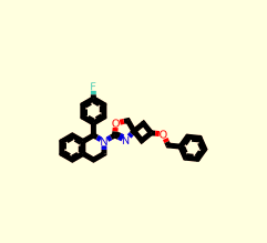 Fc1ccc(C2c3ccccc3CCN2C2=NC3(CO2)CC(OCc2ccccc2)C3)cc1